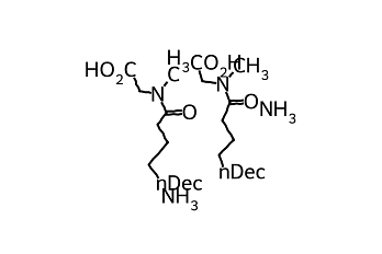 CCCCCCCCCCCCCC(=O)N(C)CC(=O)O.CCCCCCCCCCCCCC(=O)N(C)CC(=O)O.N.N